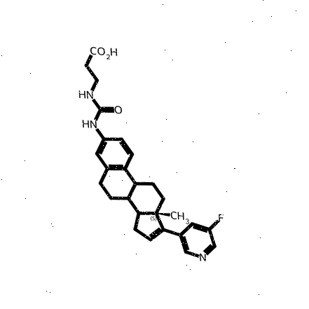 C[C@]12CCC3c4ccc(NC(=O)NCCC(=O)O)cc4CCC3C1CC=C2c1cncc(F)c1